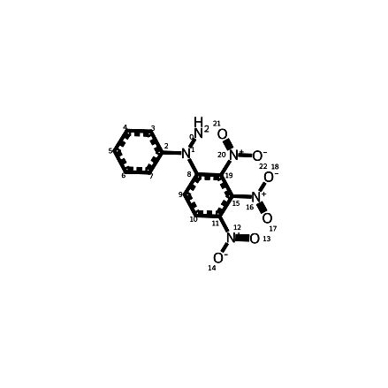 NN(c1ccccc1)c1ccc([N+](=O)[O-])c([N+](=O)[O-])c1[N+](=O)[O-]